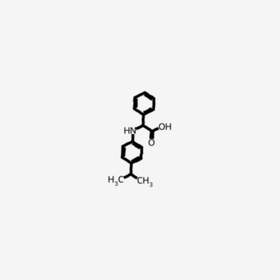 CC(C)c1ccc(NC(C(=O)O)c2ccccc2)cc1